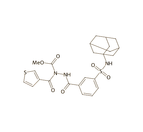 COC(=O)N(NC(=O)c1cccc(S(=O)(=O)NC23CC4CC(CC(C4)C2)C3)c1)C(=O)c1ccsc1